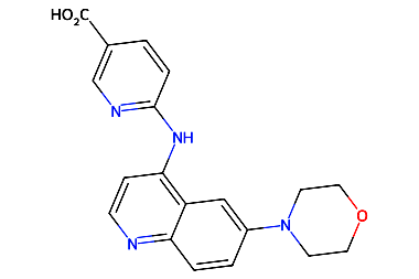 O=C(O)c1ccc(Nc2ccnc3ccc(N4CCOCC4)cc23)nc1